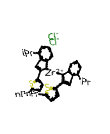 CCCc1ccc(C2=Cc3c(C(C)C)cccc3[CH]2[Zr+2][CH]2C(c3ccc(CCC)s3)=Cc3c(C(C)C)cccc32)s1.[Cl-].[Cl-]